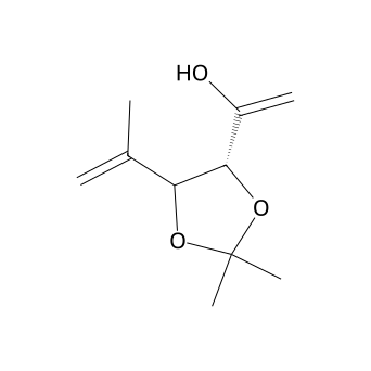 C=C(C)C1OC(C)(C)O[C@H]1C(=C)O